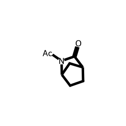 CC(=O)N1C(=O)C2CCC1C2